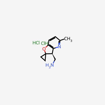 Cc1ccc2c(n1)[C@@H](CN)C1(CC1)O2.Cl.Cl